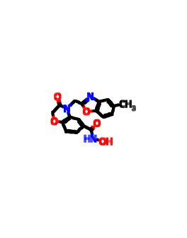 Cc1ccc2oc(CN3C(=O)COc4ccc(C(=O)NO)cc43)nc2c1